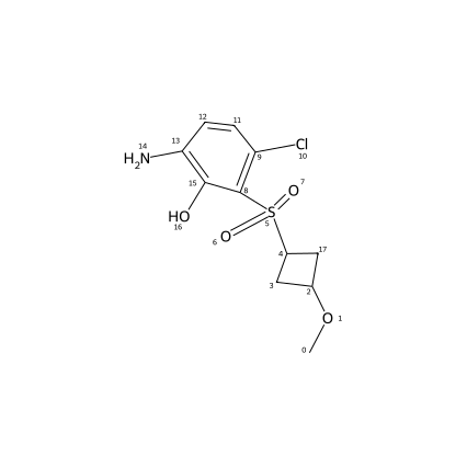 COC1CC(S(=O)(=O)c2c(Cl)ccc(N)c2O)C1